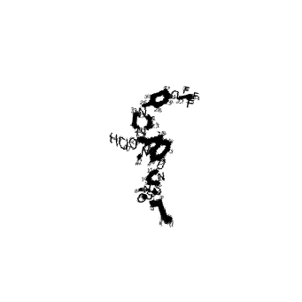 CCCCS(=O)(=O)N(C)c1ccc(Oc2ccc3cc(C(=O)N4CCN(Cc5ccc(OCC(F)(F)F)cc5)CC4)n(C)c3c2)nc1.Cl